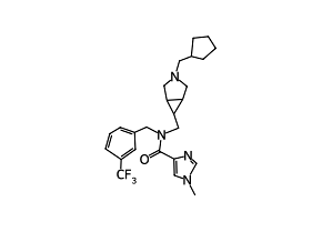 Cn1cnc(C(=O)N(Cc2cccc(C(F)(F)F)c2)CC2C3CN(CC4CCCC4)CC32)c1